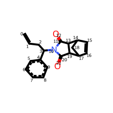 C=CCC(c1ccccc1)N1C(=O)C2C3C=CC(C3)C2C1=O